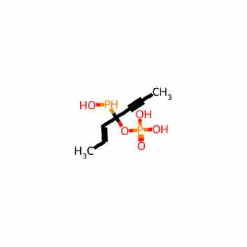 CC#CC(C=CC)(OP(=O)(O)O)PO